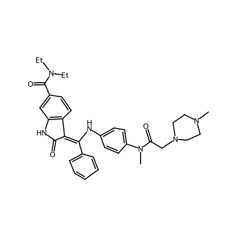 CCN(CC)C(=O)c1ccc2c(c1)NC(=O)C2=C(Nc1ccc(N(C)C(=O)CN2CCN(C)CC2)cc1)c1ccccc1